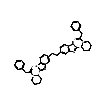 O=C(Cc1ccccc1)N1CCCC[C@H]1c1nc2cc(CCc3ccc4[nH]c([C@@H]5CCCCN5C(=O)Cc5ccccc5)nc4c3)ccc2[nH]1